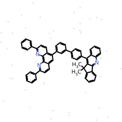 CC1(C)c2ccccc2-c2nc3ccccc3c(-c3ccc(-c4cccc(-c5cc6ccc(-c7ccccc7)nc6c6nc(-c7ccccc7)ccc56)c4)cc3)c21